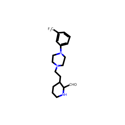 O=CC1NCCCC1CCN1CCN(c2cccc(C(F)(F)F)c2)CC1